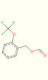 O=COCc1ccccc1OC(F)(F)F